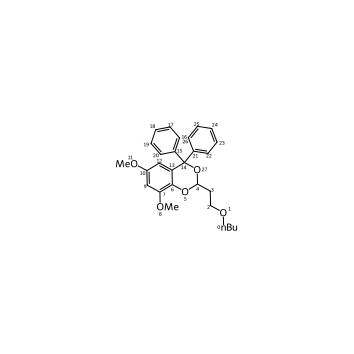 CCCCOCCC1Oc2c(OC)cc(OC)cc2C(c2ccccc2)(c2ccccc2)O1